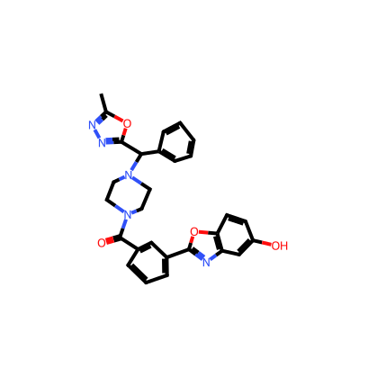 Cc1nnc(C(c2ccccc2)N2CCN(C(=O)c3cccc(-c4nc5cc(O)ccc5o4)c3)CC2)o1